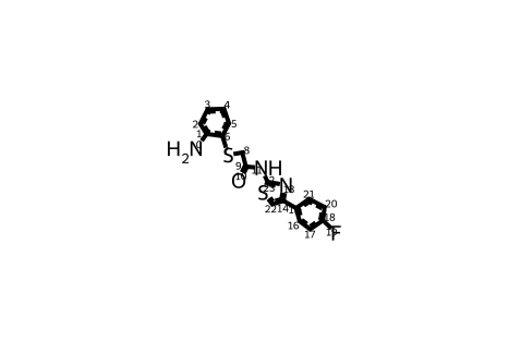 Nc1ccccc1SCC(=O)Nc1nc(-c2ccc(F)cc2)cs1